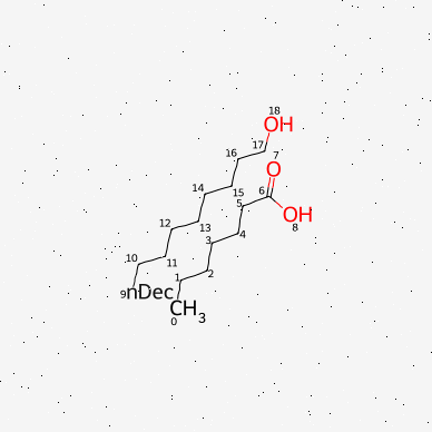 CCCCCCC(=O)O.CCCCCCCCCCCCCCCCCCO